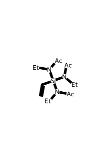 C=C[Si](N(CC)C(C)=O)(N(CC)C(C)=O)N(CC)C(C)=O